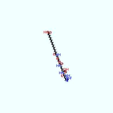 N[C@@H](Cc1cnc[nH]1)C(=O)CN[C@@H](CCCCNC(=O)COCCOCCNC(=O)CCCCCCCCCCCCCCCCC(=O)O)C(=O)O